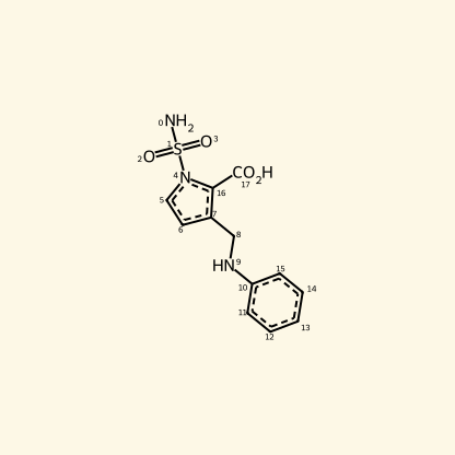 NS(=O)(=O)n1ccc(CNc2ccccc2)c1C(=O)O